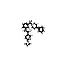 Cc1ccc(C(=O)N2CCC(c3ccccc3)CC2)cc1NC(=O)c1ccc(N2CCC2)nc1